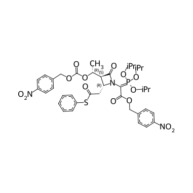 CC(C)OP(OC(C)C)(OC(C)C)=C(C(=O)OCc1ccc([N+](=O)[O-])cc1)N1C(=O)[C@H]([C@@H](C)OC(=O)OCc2ccc([N+](=O)[O-])cc2)[C@H]1CC(=O)Sc1ccccc1